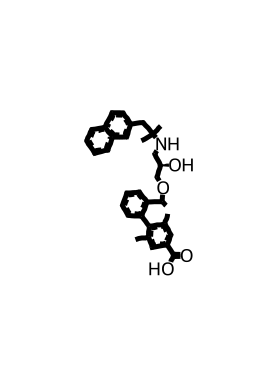 Cc1cc(C(=O)O)cc(C)c1-c1ccccc1C(C)OC[C@H](O)CNC(C)(C)Cc1ccc2ccccc2c1